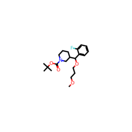 COCCCOC(c1ccccc1F)C1CCCN(C(=O)OC(C)(C)C)C1